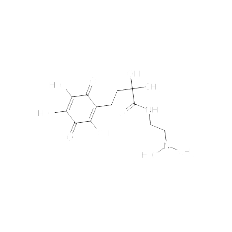 CC1=C(C)C(=O)C(CCC(C)(O)C(=O)NCCN(C)C)=C(C)C1=O